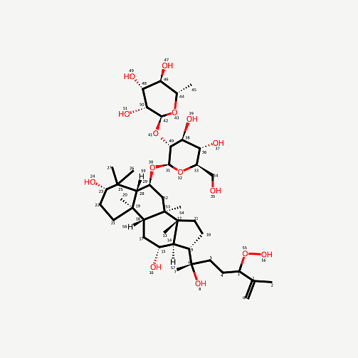 C=C(C)C(CC[C@](C)(O)[C@H]1CC[C@]2(C)[C@@H]1[C@H](O)C[C@@H]1[C@@]3(C)CC[C@H](O)C(C)(C)[C@@H]3[C@@H](O[C@@H]3O[C@H](CO)[C@@H](O)[C@H](O)[C@H]3O[C@@H]3O[C@@H](C)[C@H](O)[C@@H](O)[C@H]3O)C[C@]12C)OO